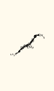 CCCc1ccc(CCC(=O)Oc2ccc(C(=O)Oc3ccc(OC(=O)c4ccc(OC(=O)CCc5ccc(CCC)cc5)cc4)c(CC)c3)cc2)cc1